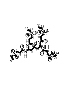 C=CS(=O)(=O)CCC(=O)NC(CCCC(NC(=O)CCS(=O)(=O)C=C)NC(=O)CCS(=O)(=O)C=C)NC(=O)CCS(=O)(=O)C=C